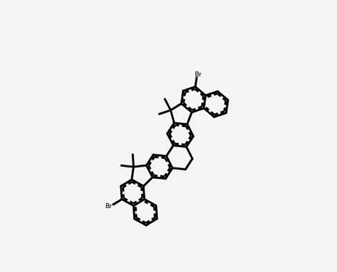 CC1(C)c2cc3c(cc2-c2c1cc(Br)c1ccccc21)CCc1cc2c(cc1-3)C(C)(C)c1cc(Br)c3ccccc3c1-2